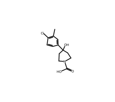 Cc1cc(C2(O)CCN(C(=O)O)CC2)ccc1Cl